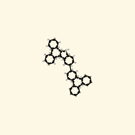 c1ccc2c(c1)c1ccccc1c1cc(-c3ccc4sc5c6ccccc6c6ccccc6c5c4c3)ccc21